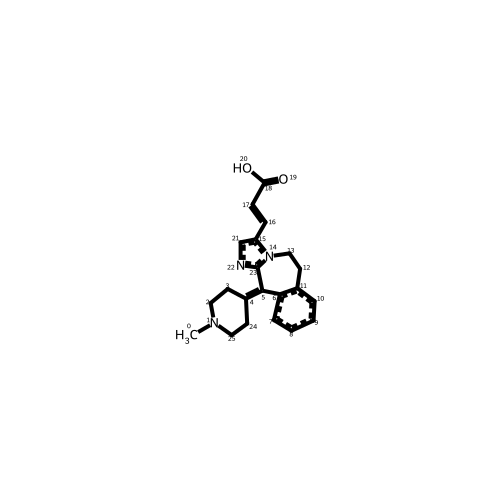 CN1CCC(=C2c3ccccc3CCn3c(C=CC(=O)O)cnc32)CC1